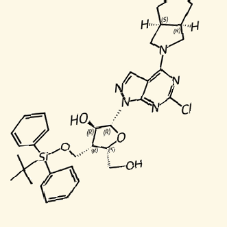 CC(C)(C)[Si](OC[C@@H]1[C@@H](O)[C@H](n2ncc3c(N4C[C@H]5CCC[C@H]5C4)nc(Cl)nc32)O[C@@H]1CO)(c1ccccc1)c1ccccc1